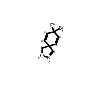 FC1(Br)C=CC2([C]=NOC2)C=C1